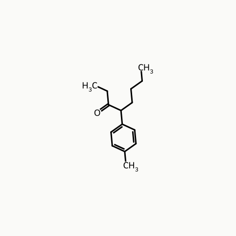 CCCCC(C(=O)CC)c1ccc(C)cc1